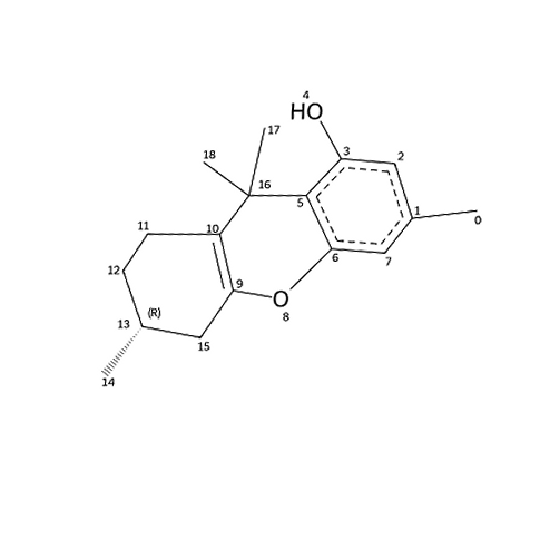 Cc1cc(O)c2c(c1)OC1=C(CC[C@@H](C)C1)C2(C)C